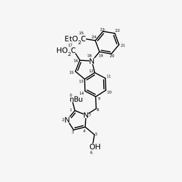 CCCCc1ncc(CO)n1Cc1ccc2c(c1)cc(C(=O)O)n2-c1ccccc1C(=O)OCC